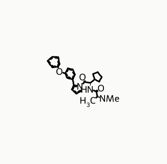 CN[C@@H](C)C(=O)N[C@H](C(=O)n1cccc1-c1cccc(Oc2ccccc2)c1)C1CCCC1